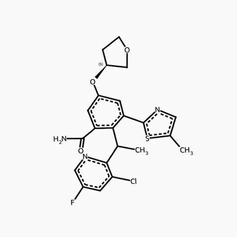 Cc1cnc(-c2cc(O[C@H]3CCOC3)cc(C(N)=O)c2C(C)c2ncc(F)cc2Cl)s1